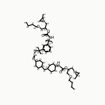 CCCCOCC(CN1CC1C)OC(=O)NC1CCC(CC2CCC(N=C=NC(C)(C)c3cccc(C(C)(C)NC(=O)OC(COCCCC)CN4CC4C)c3)CC2)CC1